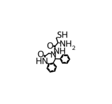 N[C@H](CS)C(=O)NN1CC(=O)Nc2ccccc2C1c1ccccc1